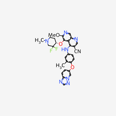 COc1ncc2ncc(C#N)c(Nc3ccc(Oc4ccc5ncnn5c4)c(C)c3)c2c1O[C@H]1CCN(C)CC1(F)F